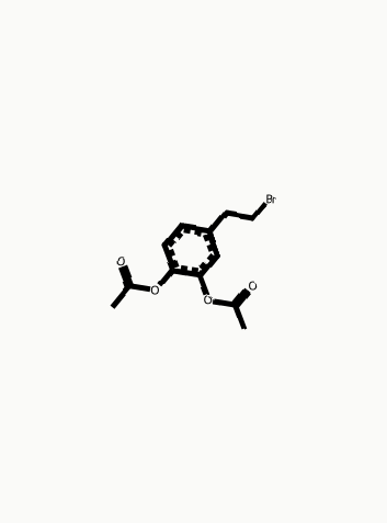 CC(=O)Oc1ccc(CCBr)cc1OC(C)=O